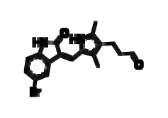 Cc1[nH]c(/C=C2\C(=O)Nc3ccc(Br)cc32)c(C)c1CCC=O